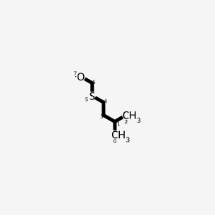 CC(C)CCSC[O]